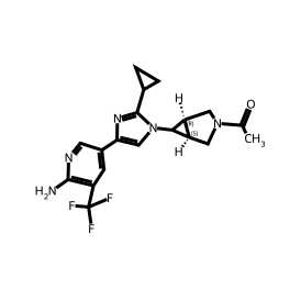 CC(=O)N1C[C@@H]2C(n3cc(-c4cnc(N)c(C(F)(F)F)c4)nc3C3CC3)[C@@H]2C1